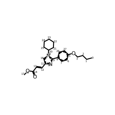 CCCCOc1ccc(-c2nc(/C=C/C(=O)OC)cn2C2CCCCC2)cc1